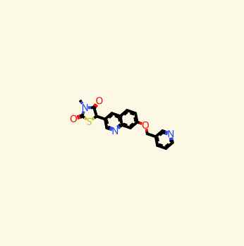 CN1C(=O)SC(c2cnc3cc(OCc4cccnc4)ccc3c2)C1=O